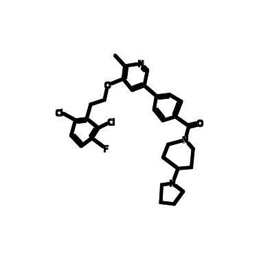 Cc1ncc(-c2ccc(C(=O)N3CCC(N4CCCC4)CC3)cc2)cc1OCCc1c(Cl)ccc(F)c1Cl